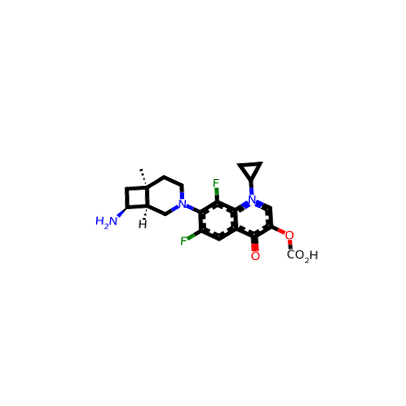 C[C@]12CCN(c3c(F)cc4c(=O)c(OC(=O)O)cn(C5CC5)c4c3F)C[C@H]1[C@@H](N)C2